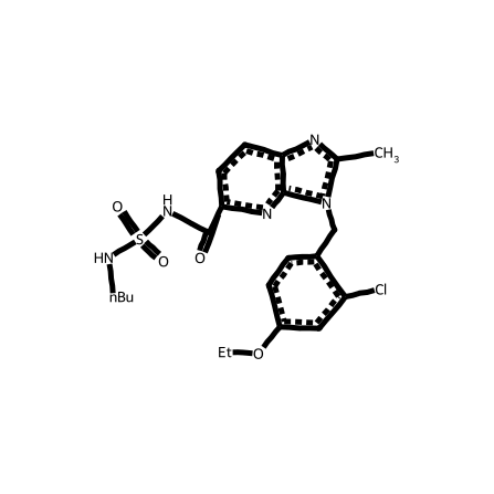 CCCCNS(=O)(=O)NC(=O)c1ccc2nc(C)n(Cc3ccc(OCC)cc3Cl)c2n1